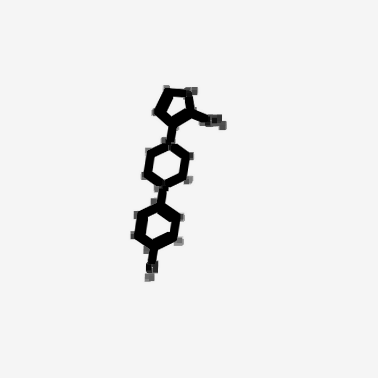 Cc1sccc1N1CCN(c2ccc(Cl)cc2)CC1